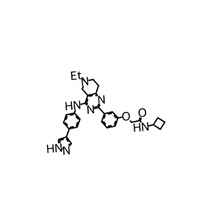 CCN1CCc2nc(-c3cccc(OCC(=O)NC4CCC4)c3)nc(Nc3ccc(-c4cn[nH]c4)cc3)c2C1